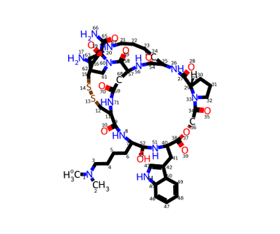 CN(C)CCCCC1NC(=O)C2CSSCC(N)C(=O)NCCCCC(NC(=O)[C@@H]3CCCN3C(=O)COC(=O)C(CC3=CNC4C=CC=CC34)NC1O)C(=O)NC(C(=O)N1CCCC1C(N)=O)CC(=O)N2